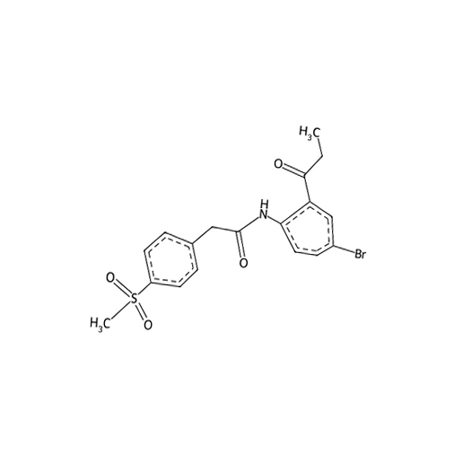 CCC(=O)c1cc(Br)ccc1NC(=O)Cc1ccc(S(C)(=O)=O)cc1